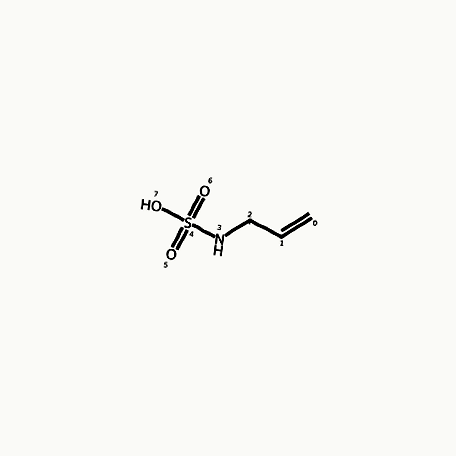 C=C[CH]NS(=O)(=O)O